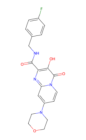 O=C(NCc1ccc(F)cc1)c1nc2cc(N3CCOCC3)ccn2c(=O)c1O